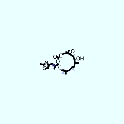 C/C1=C/CC(/C(C)=C/c2csc(C)n2)OC(=O)CCC(C)(C)C(=O)[C@H](C)[C@@H](O)C(C)/C=C/C1